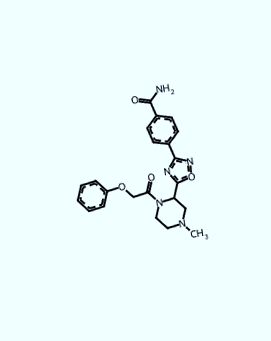 CN1CCN(C(=O)COc2ccccc2)C(c2nc(-c3ccc(C(N)=O)cc3)no2)C1